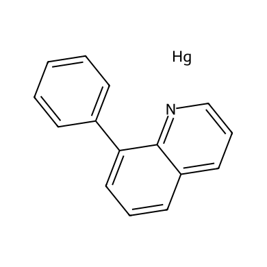 [Hg].c1ccc(-c2cccc3cccnc23)cc1